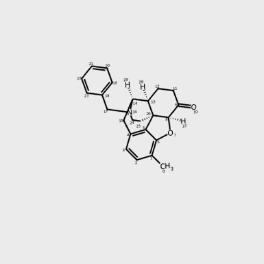 Cc1ccc2c3c1O[C@@H]1C(=O)CC[C@@H]4[C@H](C2)N(Cc2ccccc2)CC[C@@]314